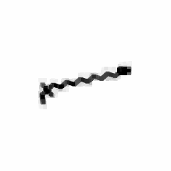 C=C[Si](C)(C)CCCCCCCCCCO